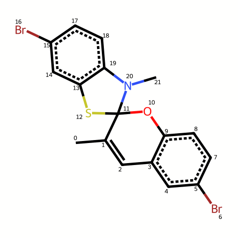 CC1=Cc2cc(Br)ccc2OC12Sc1cc(Br)ccc1N2C